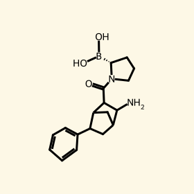 NC1C2CC(c3ccccc3)C(C2)C1C(=O)N1CCC[C@H]1B(O)O